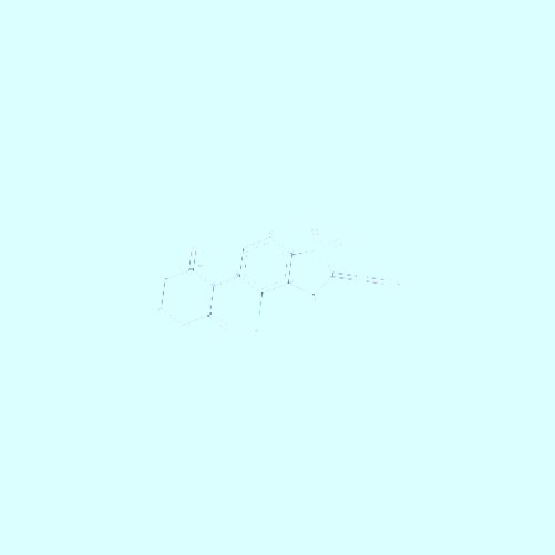 O=C=C1Cc2c(ccc(C3C(=O)CCCC3=O)c2Cl)S1(=O)=O